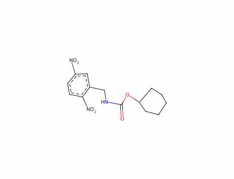 O=C(NCc1cc([N+](=O)[O-])ccc1[N+](=O)[O-])OC1CCCCC1